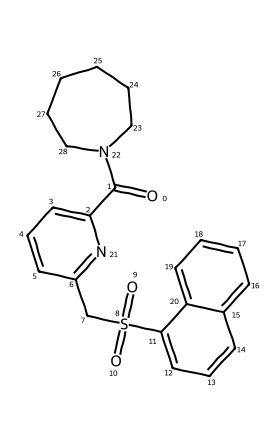 O=C(c1cccc(CS(=O)(=O)c2cccc3ccccc23)n1)N1CCCCCC1